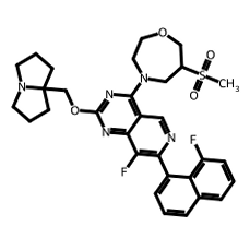 CS(=O)(=O)C1COCCN(c2nc(OCC34CCCN3CCC4)nc3c(F)c(-c4cccc5cccc(F)c45)ncc23)C1